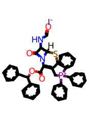 O=CNC1C(=O)N2C(C(=O)OC(c3ccccc3)c3ccccc3)=C(C[P+](c3ccccc3)(c3ccccc3)c3ccccc3)CS[C@@H]12.[I-]